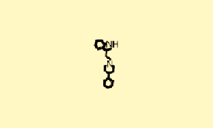 c1ccc(C2CCN(CCc3c[nH]c4ccccc34)CC2)cc1